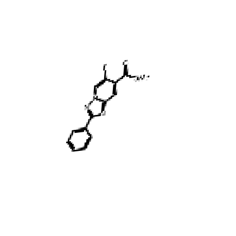 COC(=O)c1cc2nc(-c3ccccc3)nn2cc1F